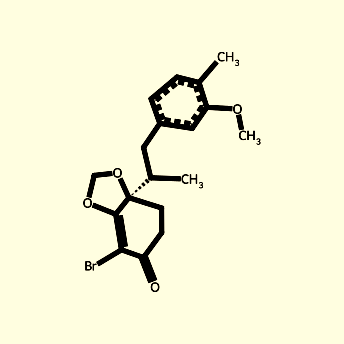 COc1cc(CC(C)[C@]23CCC(=O)C(Br)=C2OCO3)ccc1C